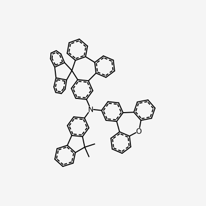 CC1(C)c2ccccc2-c2ccc(N(c3ccc4c(c3)-c3ccccc3Oc3ccccc3-4)c3ccc4c(c3)-c3ccccc3-c3ccccc3C43c4ccccc4-c4ccccc43)cc21